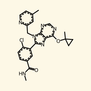 CNC(=O)c1ccc(Cl)c(-c2nc3c(OC4(C)CC4)ncnc3n2Cc2cc(C)ccn2)c1